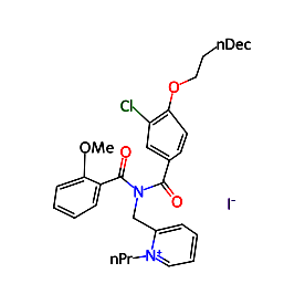 CCCCCCCCCCCCOc1ccc(C(=O)N(Cc2cccc[n+]2CCC)C(=O)c2ccccc2OC)cc1Cl.[I-]